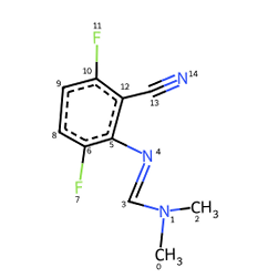 CN(C)/C=N/c1c(F)ccc(F)c1C#N